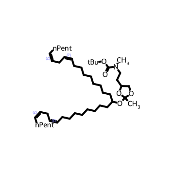 CCCCC/C=C\C/C=C\CCCCCCCCC(CCCCCCCC/C=C\C/C=C\CCCCC)OC1(C)OCC(CCN(C)C(=O)OC(C)(C)C)O1